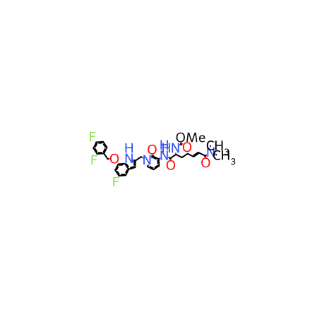 COC(=O)NC(CC/C=C/C(=O)N(C)C)C(=O)Nc1cccn(Cc2cc3cc(F)cc(OCc4ccc(F)cc4F)c3[nH]2)c1=O